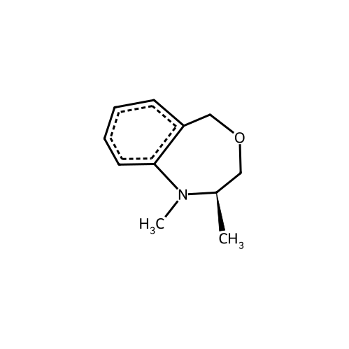 C[C@@H]1COCc2ccccc2N1C